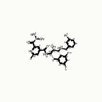 CCCN(CCC)C(=O)c1cc(C(=O)N[C@@H](Cc2cc(F)cc(F)c2)[C@H](O)CNCc2cccc(C(C)C)c2)cc(C)n1